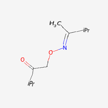 CC(=NOCC(=O)C(C)C)C(C)C